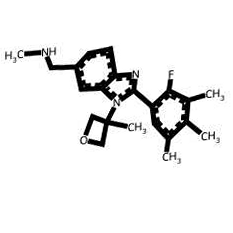 CNCc1ccc2nc(-c3cc(C)c(C)c(C)c3F)n(C3(C)COC3)c2c1